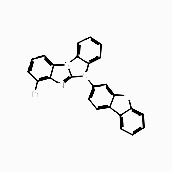 Brc1cccc2c1nc1n(-c3ccc4c(c3)oc3ccccc34)c3ccccc3n21